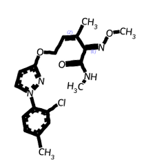 CNC(=O)C(=N/OC)/C(C)=C\COc1ccn(-c2ccc(C)cc2Cl)n1